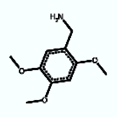 COc1cc(OC)c(OC)cc1CN